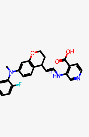 CN(c1ccc2c(c1)OCCC2/C=C/Nc1cnccc1C(=O)O)c1ccccc1F